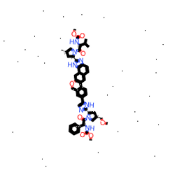 COC[C@H]1C[C@@H](c2ncc(-c3ccc4c(c3)COC3=C4C=C4C=Cc5nc([C@@H]6C[C@H](C)CN6C(=O)[C@@H](NC(=O)OC)C(C)C)[nH]c5C4C3)[nH]2)N(C(=O)[C@H](NC(=O)OC)c2ccccc2)C1